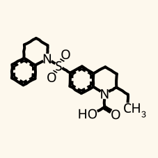 CCC1CCc2cc(S(=O)(=O)N3CCCc4ccccc43)ccc2N1C(=O)O